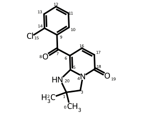 CC1(C)Cn2c(c(C(=O)c3ccccc3Cl)ccc2=O)N1